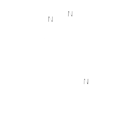 c1ccc2c(c1)ncc1cnncc12